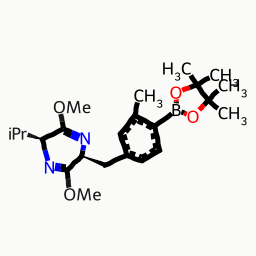 COC1=N[C@@H](C(C)C)C(OC)=N[C@H]1Cc1ccc(B2OC(C)(C)C(C)(C)O2)c(C)c1